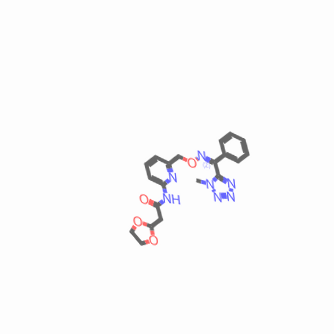 Cn1nnnc1/C(=N\OCc1cccc(NC(=O)CC2OCCO2)n1)c1ccccc1